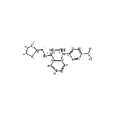 FC(F)c1ccc(C2NNC(NC[C@H]3CCCO3)c3cnccc32)cc1